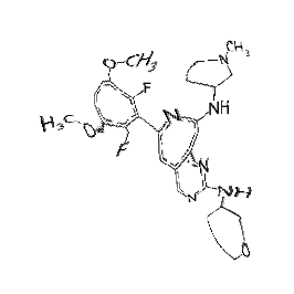 COc1cc(OC)c(F)c(-c2cc3cnc(NC4CCCOC4)nc3c(NC3CCN(C)C3)n2)c1F